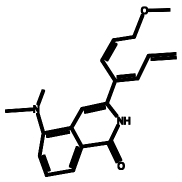 C=C/C=C(\C=C/COC)c1cc2c(N(C)C)cccc2c(=O)[nH]1